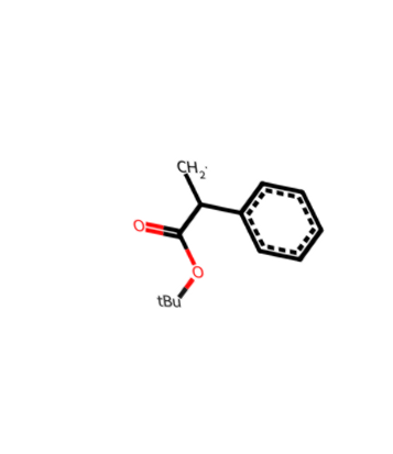 [CH2]C(C(=O)OC(C)(C)C)c1ccccc1